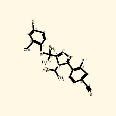 CC(C)n1c(-c2ccc(C#N)cc2F)nnc1C(C)(C)Oc1ccc(F)cc1Cl